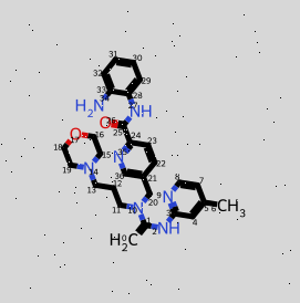 C=C(Nc1cc(C)ccn1)N(CCCN1CCOCC1)Cc1ccc(C(=O)Nc2ccccc2N)nc1